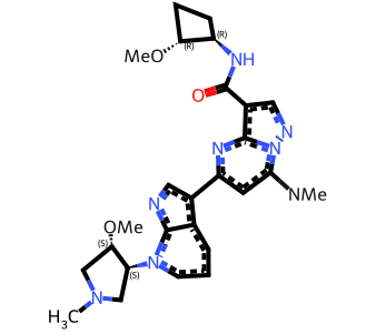 CNc1cc(-c2cnc3n([C@H]4CN(C)C[C@@H]4OC)cccc2-3)nc2c(C(=O)N[C@@H]3CC[C@H]3OC)cnn12